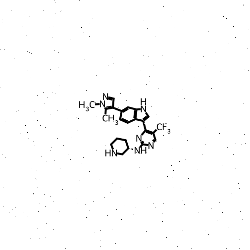 Cc1c(-c2ccc3c(-c4nc(N[C@H]5CCCNC5)ncc4C(F)(F)F)c[nH]c3c2)cnn1C